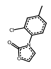 Cc1ccc(-n2ccoc2=O)c(Cl)c1